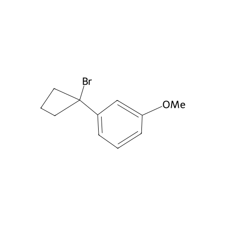 COc1cccc(C2(Br)CCC2)c1